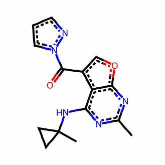 Cc1nc(NC2(C)CC2)c2c(C(=O)n3cccn3)coc2n1